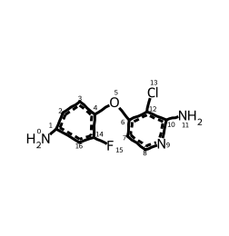 Nc1ccc(Oc2ccnc(N)c2Cl)c(F)c1